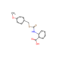 COc1ccc(CSC(=S)Nc2ccccc2C(=O)O)cc1